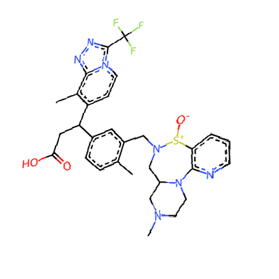 Cc1ccc(C(CC(=O)O)c2ccn3c(C(F)(F)F)nnc3c2C)cc1CN1CC2CN(C)CCN2c2ncccc2[S+]1[O-]